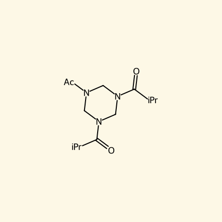 CC(=O)N1CN(C(=O)C(C)C)CN(C(=O)C(C)C)C1